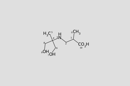 CC(CNC(C)(CO)CO)C(=O)O